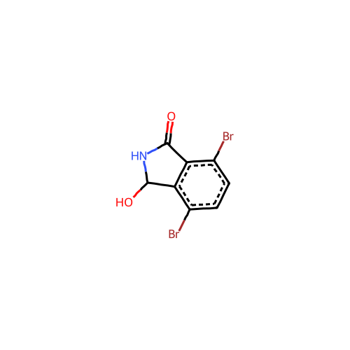 O=C1NC(O)c2c(Br)ccc(Br)c21